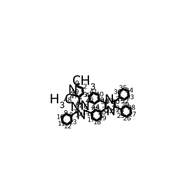 Cc1ccc(-c2nc(-c3ccccc3)nc(-c3cccc(-c4nc(-c5ccccc5)c(-c5ccccc5)nc4-c4ccccc4)c3)n2)c(C)n1